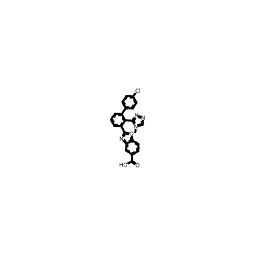 Cn1cnnc1-c1c(-c2ccc(Cl)cc2)cccc1-c1nc2cc(C(=O)O)ccc2o1